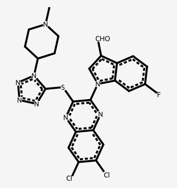 CN1CCC(n2nnnc2Sc2nc3cc(Cl)c(Cl)cc3nc2-n2cc(C=O)c3ccc(F)cc32)CC1